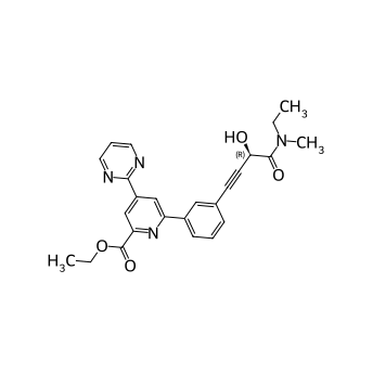 CCOC(=O)c1cc(-c2ncccn2)cc(-c2cccc(C#C[C@@H](O)C(=O)N(C)CC)c2)n1